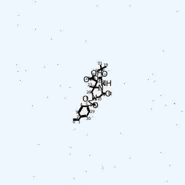 C=Cc1ccc(S(=O)(=O)N2CC(=O)N(NC(=O)OC(C)(C)C)C(C)(CC(=O)O)C2)cc1